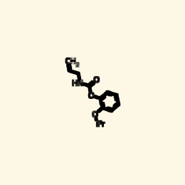 C=CCNC(=O)Oc1ccccc1OC(C)C